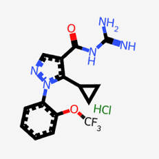 Cl.N=C(N)NC(=O)c1cnn(-c2ccccc2OC(F)(F)F)c1C1CC1